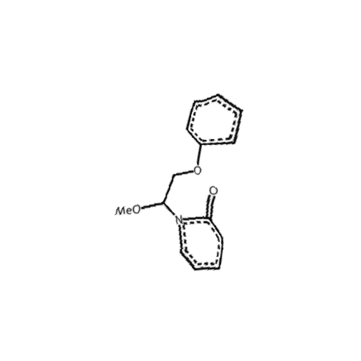 COC(COc1ccccc1)n1ccccc1=O